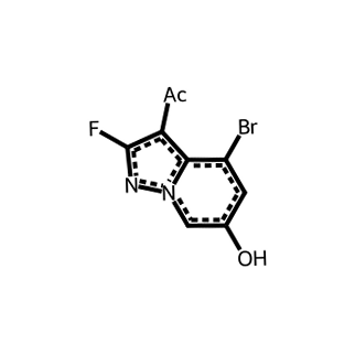 CC(=O)c1c(F)nn2cc(O)cc(Br)c12